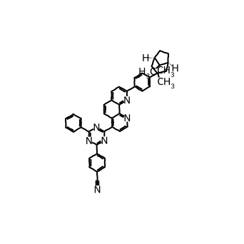 CC1(c2ccc(-c3ccc4ccc5c(-c6nc(-c7ccccc7)nc(-c7ccc(C#N)cc7)n6)ccnc5c4n3)cc2)C[C@H]2CC[C@@H](C1)C2(C)C